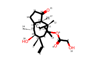 C=C[C@@]1(C)CC(OC(=O)CO)[C@]2(C)C(C)CC[C@]3(CCC(=O)[C@@H]23)[C@@H](C)[C@@H]1O